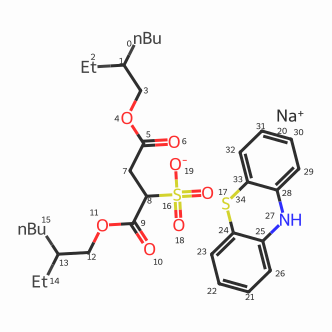 CCCCC(CC)COC(=O)CC(C(=O)OCC(CC)CCCC)S(=O)(=O)[O-].[Na+].c1ccc2c(c1)Nc1ccccc1S2